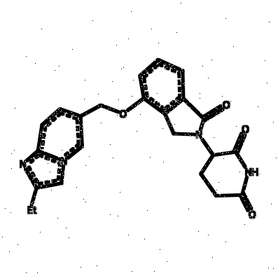 CCc1cn2cc(COc3cccc4c3CN(C3CCC(=O)NC3=O)C4=O)ccc2n1